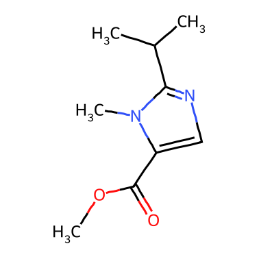 COC(=O)c1cnc(C(C)C)n1C